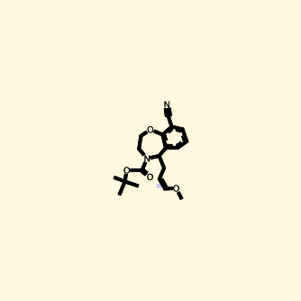 CO/C=C\CC1c2cccc(C#N)c2OCCN1C(=O)OC(C)(C)C